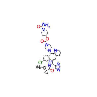 COC1(C(=O)N[C@H](C2=Cc3cccnc3[C@@H](N3CCN(C(=O)OC4CCN(C(N)=O)CC4)CC3)c3ccc(Cl)cc32)c2cncn2C)CC1